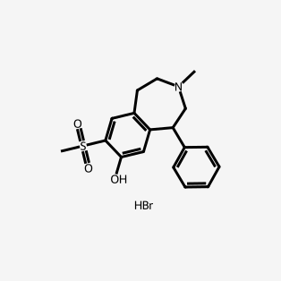 Br.CN1CCc2cc(S(C)(=O)=O)c(O)cc2C(c2ccccc2)C1